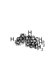 C=C/C=C\C(=C)/C(C)=C(/C=C\CNC1=CC(C2C=CC=CC2)C(c2ccc3c(c2)C(C)(C)c2ccccc2-3)C=C1)c1ccc2c(c1)C(C)(C)c1ccccc1-2